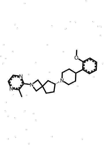 COc1ccccc1C1CCN([C@@H]2CCC3(C2)CN(c2nccnc2C)C3)CC1